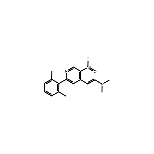 Cc1cccc(C)c1-c1cc(/C=C/N(C)C)c([N+](=O)[O-])cn1